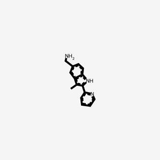 Cc1c(-c2ccccn2)[nH]c2ccc(CN)cc12